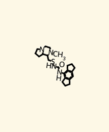 CN1CCN2CCCC2C1CSNC(=O)Nc1c2c(cc3c1CCC3)CCC2